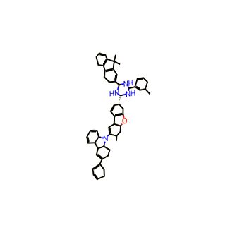 CC1C=C(C2NC(C3=CC4=C(CC3)C3=C(C=CCC3)C4(C)C)NC([C@H]3C=CC4=C(C3)OC3CC(C)C(N5C6C=CC=CC6C6C=C(C7=CC=CCC7)CCC65)=CC43)N2)C=CC1